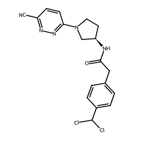 N#Cc1ccc(N2CC[C@@H](NC(=O)Cc3ccc(C(Cl)Cl)cc3)C2)nn1